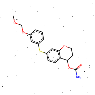 COCOc1cccc(Sc2ccc3c(c2)OCCC3OC(N)=O)c1